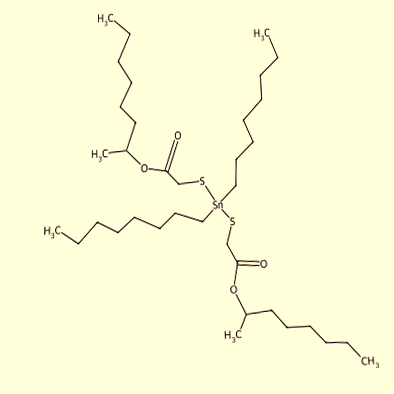 CCCCCCC[CH2][Sn]([CH2]CCCCCCC)([S]CC(=O)OC(C)CCCCCC)[S]CC(=O)OC(C)CCCCCC